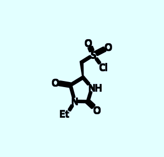 CCN1C(=O)N[C@H](CS(=O)(=O)Cl)C1=O